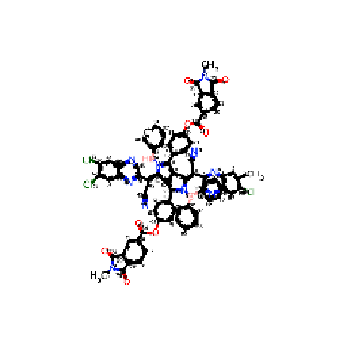 Cc1cc2nc(/C(C#N)=c3/c4c(-c5ccc(OC(=O)c6ccc7c(c6)C(=O)N(C)C7=O)cc5)n(Bc5ccccc5)/c(=C(/C#N)c5cnc6cc(Cl)c(Cl)cc6n5)c4c(-c4ccc(OC(=O)c5ccc6c(c5)C(=O)N(C)C6=O)cc4)n3B(c3ccccc3)c3ccccc3)cnc2cc1Cl